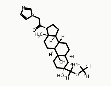 [2H]C([2H])([2H])OC([2H])([2H])[C@@]1(O)CC[C@@]2(C)[C@@H](CC[C@@H]3[C@@H]2CC[C@]2(C)[C@@H](C(=O)Cn4ccnc4)CC[C@@H]32)C1